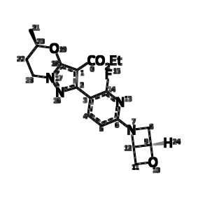 CCOC(=O)c1c(-c2ccc(N3C[C@H]4OCC43)nc2F)nn2c1O[C@H](C)CC2